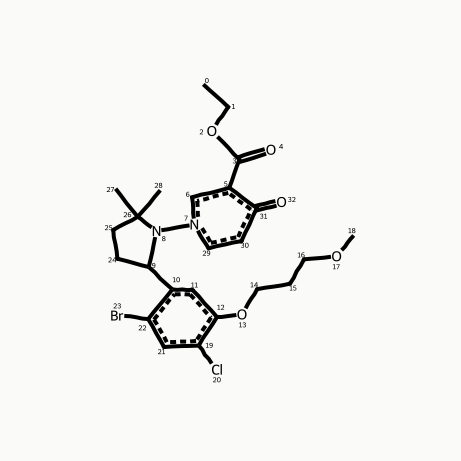 CCOC(=O)c1cn(N2C(c3cc(OCCCOC)c(Cl)cc3Br)CCC2(C)C)ccc1=O